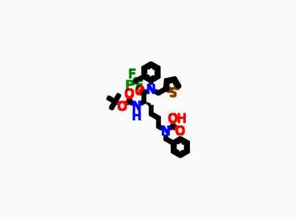 CC(C)(C)OC(=O)N[C@@H](CCCCN(Cc1ccccc1)C(=O)O)C(=O)N(Cc1cccs1)c1ccccc1C(F)(F)F